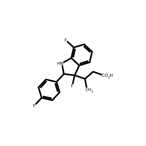 CC(CC(=O)O)C1(F)c2cccc(F)c2NC1c1ccc(F)cc1